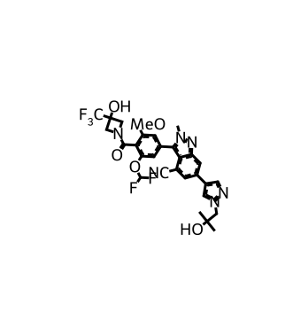 COc1cc(-c2c3c(C#N)cc(-c4cnn(CC(C)(C)O)c4)cc3nn2C)cc(OC(F)F)c1C(=O)N1CC(O)(C(F)(F)F)C1